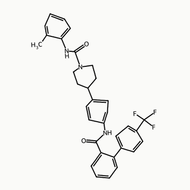 Cc1ccccc1NC(=O)N1CCC(c2ccc(NC(=O)c3ccccc3-c3ccc(C(F)(F)F)cc3)cc2)CC1